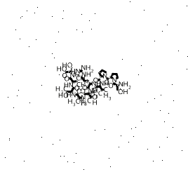 CC(C)[C@H](NC(=O)[C@@H](NC(=O)[C@H](C)NC(=O)[C@@H](NC(=O)[C@H](CCCNC(=N)N)NC(=O)[C@@H](NC(=O)[C@@H]1CCCN1C(=O)[C@@H]1CCCN1C(=O)[C@@H](N)CO)C(C)C)[C@@H](C)O)[C@@H](C)O)C(=O)N[C@@H](CO)C(=O)O